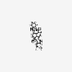 C=C/C=c1/nc2c3ccc4c(=O)n5c6ccccc6nc5c5ccc(c(=O)n2/c1=C/C(C)C)c3c45